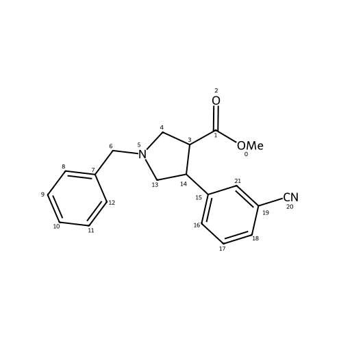 COC(=O)C1CN(Cc2ccccc2)CC1c1cccc(C#N)c1